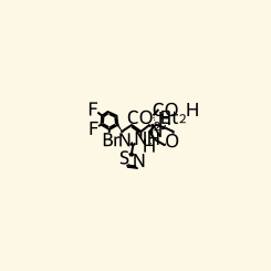 CCOC(=O)C1=C(CN2[C@H]3COC[C@@H]2[C@@H](CC(=O)O)C3)NC(c2nccs2)=N[C@H]1c1ccc(F)c(F)c1Br